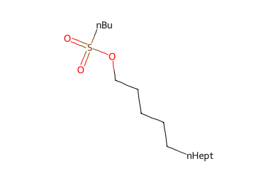 CCCCCCCCCCCCOS(=O)(=O)CCCC